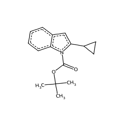 CC(C)(C)OC(=O)n1c(C2CC2)cc2ccccc21